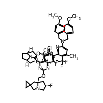 COc1ccc(CN(Cc2ccc(OC)cc2)c2cc(C)c(C(F)(F)F)c(-c3c(Cl)cc4c(N5CC[C@H]6CC[C@@H](C5)N6C(=O)OC(C)(C)C)nc(OC[C@@]56C[C@@H](F)CN5CC5(CC5)C6)nc4c3F)n2)cc1